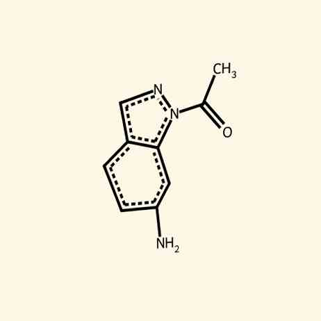 CC(=O)n1ncc2ccc(N)cc21